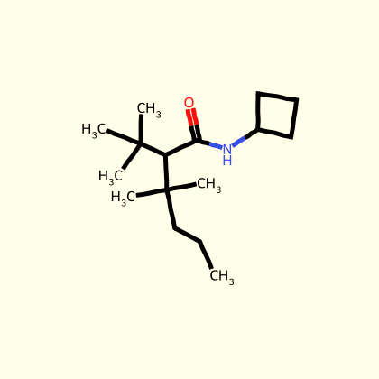 CCCC(C)(C)C(C(=O)NC1CCC1)C(C)(C)C